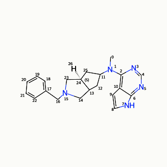 CN(c1ncnc2[nH]ccc12)C1CC2CN(Cc3ccccc3)C[C@H]2C1